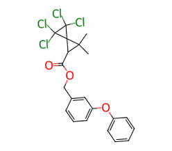 CC1(C)C(C(=O)OCc2cccc(Oc3ccccc3)c2)C12C(Cl)(Cl)C2(Cl)Cl